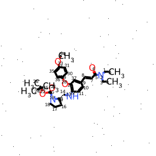 CCN(CC)C(=O)C=Cc1ccc(NC[C@@H]2CCCN2C(=O)OC(C)(C)C)c(Oc2ccc(OC)cc2)c1